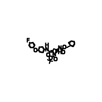 CC(C)(C)OC(=O)N1C[C@H](NC(=O)OCc2ccccc2)C[C@H]1C(=O)Nc1ccc(Oc2ccc(F)cc2)cc1